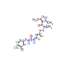 Cc1noc(C)c1C(=O)N(C)CCc1csc(NC(=O)NCc2ccc(Cl)c(Cl)c2)n1